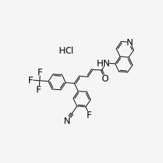 Cl.N#Cc1cc(/C(=C\C=C\C(=O)Nc2cccc3cnccc23)c2ccc(C(F)(F)F)cc2)ccc1F